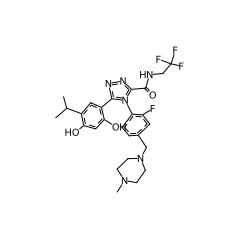 CC(C)c1cc(-c2nnc(C(=O)NCC(F)(F)F)n2-c2ccc(CN3CCN(C)CC3)cc2F)c(O)cc1O